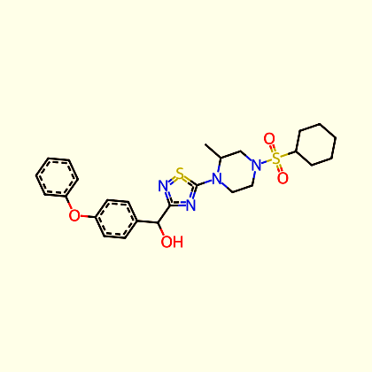 CC1CN(S(=O)(=O)C2CCCCC2)CCN1c1nc(C(O)c2ccc(Oc3ccccc3)cc2)ns1